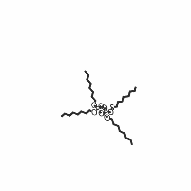 CCCCCCCCOP(=O)(OCCCCCCCC)OP(=O)(OCCCCCCCC)OSCCCCCCCC